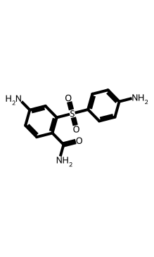 NC(=O)c1ccc(N)cc1S(=O)(=O)c1ccc(N)cc1